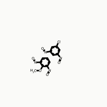 COc1c(N=O)cccc1N=O.O=Nc1cc(Cl)cc(N=O)c1